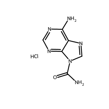 Cl.NC(=O)n1cnc2c(N)ncnc21